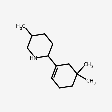 CC1CCC(C2=CCCC(C)(C)C2)NC1